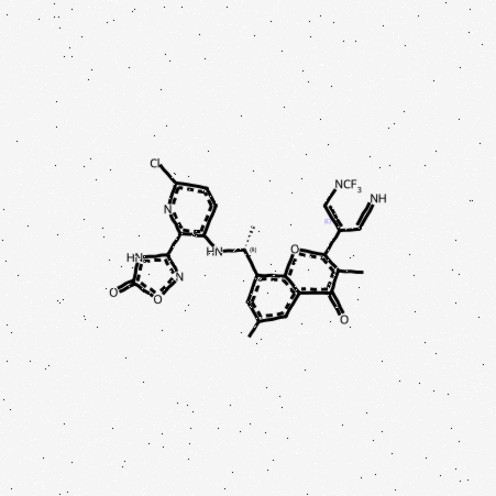 Cc1cc([C@@H](C)Nc2ccc(Cl)nc2-c2noc(=O)[nH]2)c2oc(/C(C=N)=C/NC(F)(F)F)c(C)c(=O)c2c1